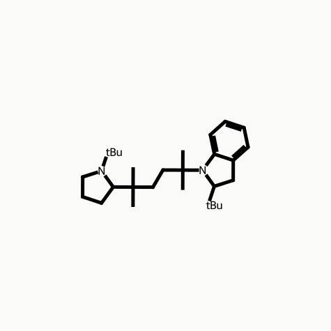 CC(C)(C)C1Cc2ccccc2N1C(C)(C)CCC(C)(C)C1CCCN1C(C)(C)C